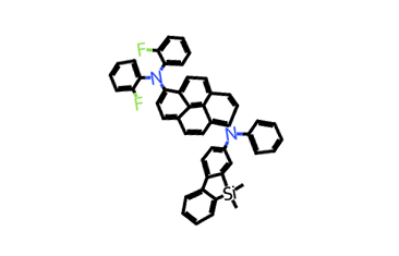 C[Si]1(C)c2ccccc2-c2ccc(N(c3ccccc3)c3ccc4ccc5c(N(c6ccccc6F)c6ccccc6F)ccc6ccc3c4c65)cc21